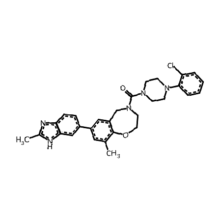 Cc1nc2ccc(-c3cc(C)c4c(c3)CN(C(=O)N3CCN(c5ccccc5Cl)CC3)CCO4)cc2[nH]1